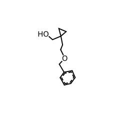 OCC1(CCOCc2ccccc2)CC1